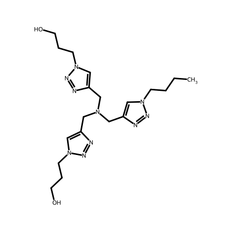 CCCCn1cc(CN(Cc2cn(CCCO)nn2)Cc2cn(CCCO)nn2)nn1